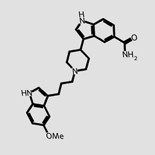 COc1ccc2[nH]cc(CCCN3CCC(c4c[nH]c5ccc(C(N)=O)cc45)CC3)c2c1